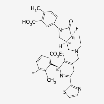 CCOC(=O)C1=C(CN2CC[C@]3(F)C(=O)N(c4ccc(C)c(C(=O)O)c4)C[C@@H]3C2)CC(c2nccs2)=N[C@H]1c1cccc(F)c1C